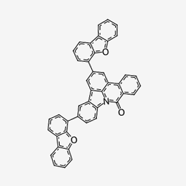 O=c1c2ccccc2c2cc(-c3cccc4c3oc3ccccc34)cc3c4cc(-c5cccc6c5oc5ccccc56)ccc4n1c23